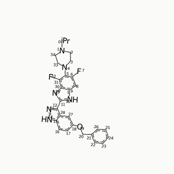 CC(C)N1CCN(c2c(F)cc3[nH]c(-c4n[nH]c5ccc(OCc6ccccc6)cc45)nc3c2F)CC1